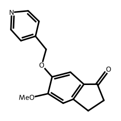 COc1cc2c(cc1OCc1ccncc1)C(=O)CC2